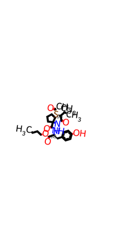 CCCCOC(=O)[C@H](Cc1ccc(O)cc1)NC(=O)C1(NC(=O)[C@H](SC(C)=O)C(C)C)CCCC1